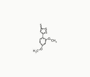 COc1ccc(-c2cc(=S)ss2)c(OC)c1